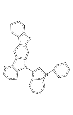 c1ccc(-n2cc(-n3c4cc5sc6ccccc6c5cc4c4ncccc43)c3ccccc32)cc1